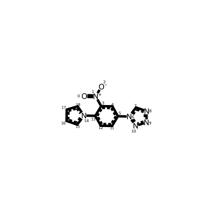 O=[N+]([O-])c1cc(-n2cnnn2)ccc1-n1cccc1